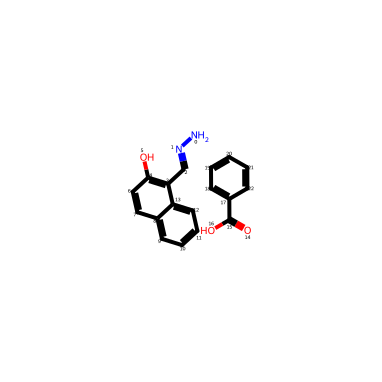 NN=Cc1c(O)ccc2ccccc12.O=C(O)c1ccccc1